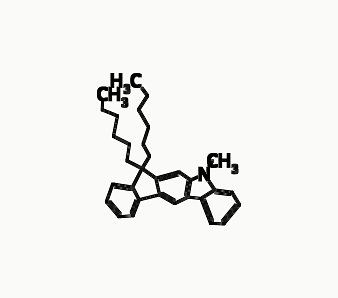 CCCCCCC1(CCCCCC)c2ccccc2-c2cc3c4ccccc4n(C)c3cc21